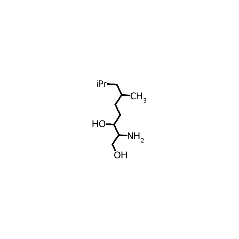 CC(C)CC(C)CCC(O)C(N)CO